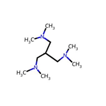 CN(C)C[C](CN(C)C)CN(C)C